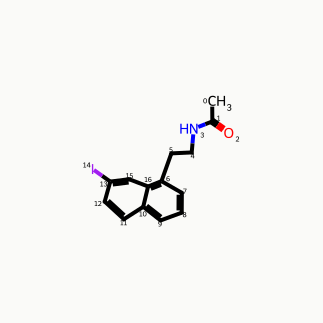 CC(=O)NCCc1cccc2ccc(I)cc12